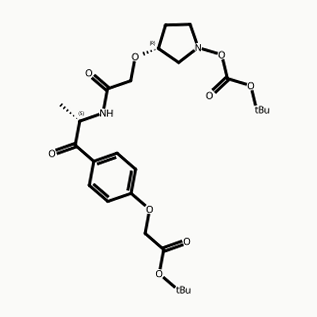 C[C@H](NC(=O)CO[C@@H]1CCN(OC(=O)OC(C)(C)C)C1)C(=O)c1ccc(OCC(=O)OC(C)(C)C)cc1